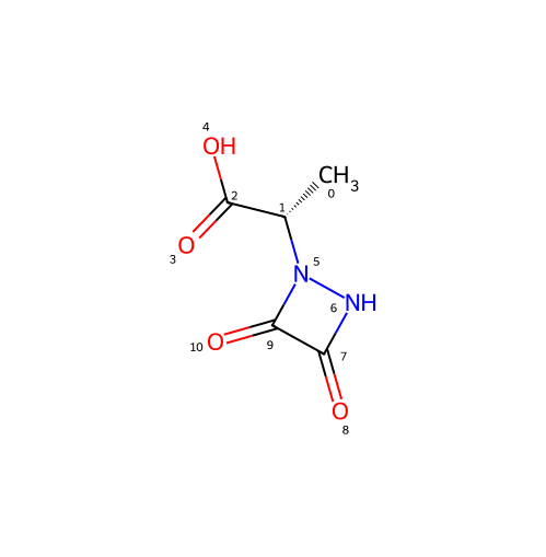 C[C@@H](C(=O)O)N1NC(=O)C1=O